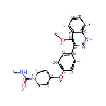 CNC(=O)N1CCC(Oc2ccc(-c3cnc4ccccc4c3OC)cc2)CC1